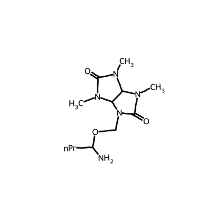 CCCC(N)OCN1C(=O)N(C)C2C1N(C)C(=O)N2C